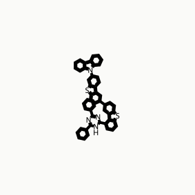 c1ccc(C2=NC(c3cccc4sc5ccc(-c6ccc7sc8cc(-n9c%10ccccc%10c%10ccccc%109)ccc8c7c6)cc5c34)NC(c3ccccc3)=N2)cc1